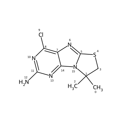 CC1(C)CSc2nc3c(Cl)nc(N)nc3n21